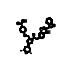 C[C@@H]1CN([C@H]2C[C@@H](CO[C@H]3CC[C@H](C(=O)O)CC3)N(C(=O)Cc3ccc(NC(=O)c4coc5ccccc45)c(Cl)c3)C2)C[C@H](C)O1